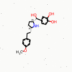 COc1ccc(CC[C@@H]2CC[C@H](C(O)c3ccc(O)c(O)c3)N2)cc1